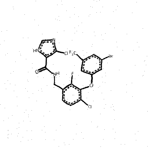 O=C(NCc1ccc(Cl)c(Oc2cc(Br)cc(C(F)(F)F)c2)c1F)c1[nH]cnc1Cl